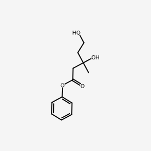 CC(O)(CCO)CC(=O)Oc1ccccc1